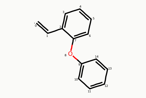 [CH]=Cc1ccccc1Oc1ccccc1